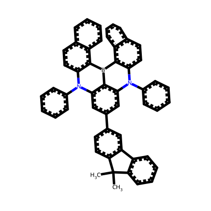 CC1(C)c2ccccc2-c2cc(-c3cc4c5c(c3)N(c3ccccc3)c3ccc6ccccc6c3B5c3c(ccc5ccccc35)N4c3ccccc3)ccc21